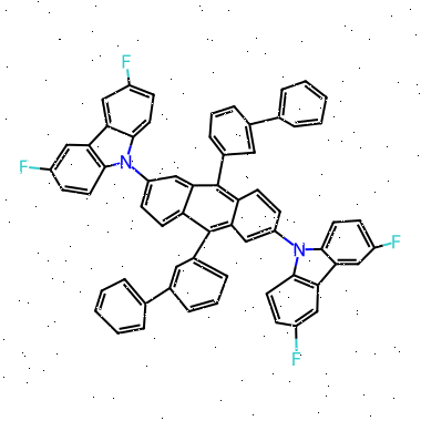 Fc1ccc2c(c1)c1cc(F)ccc1n2-c1ccc2c(-c3cccc(-c4ccccc4)c3)c3cc(-n4c5ccc(F)cc5c5cc(F)ccc54)ccc3c(-c3cccc(-c4ccccc4)c3)c2c1